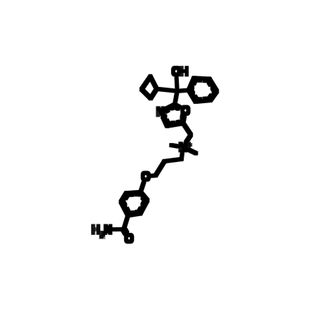 C[N+](C)(CCCOc1ccc(C(N)=O)cc1)Cc1cnc(C(O)(c2ccccc2)C2CCC2)o1